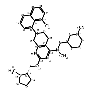 CN(CC1CCCN(C#N)C1)c1nc(OC[C@@H]2CCCN2C)nc2c1CCN(c1cccc3cccc(Cl)c13)C2